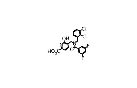 O=C(O)c1ccc(CN(Cc2cccc(Cl)c2Cl)C(=O)c2cc(F)cc(F)c2)c(O)n1